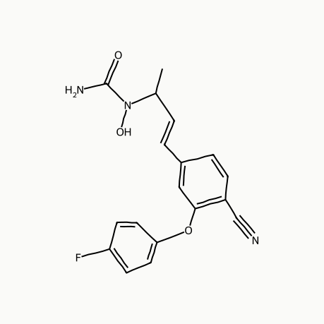 CC(/C=C/c1ccc(C#N)c(Oc2ccc(F)cc2)c1)N(O)C(N)=O